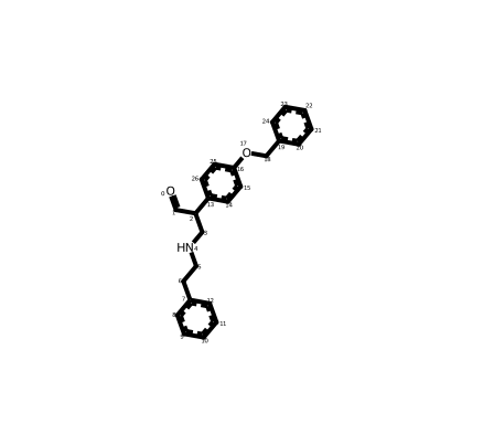 O=CC(CNCCc1ccccc1)c1ccc(OCc2ccccc2)cc1